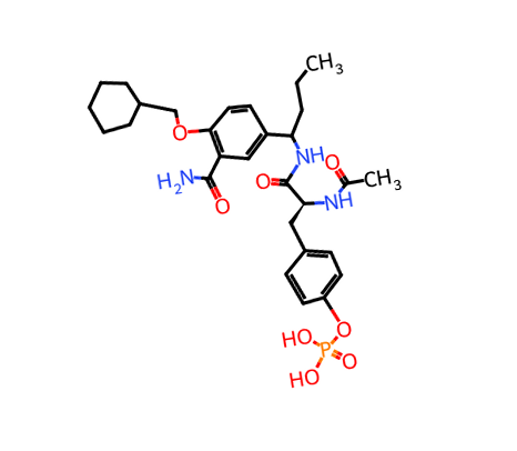 CCCC(NC(=O)[C@H](Cc1ccc(OP(=O)(O)O)cc1)NC(C)=O)c1ccc(OCC2CCCCC2)c(C(N)=O)c1